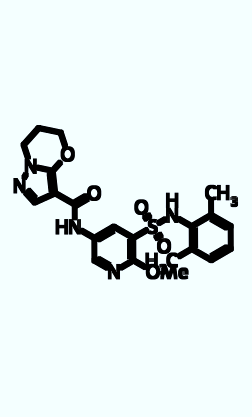 COc1ncc(NC(=O)c2cnn3c2OCCC3)cc1S(=O)(=O)Nc1c(C)cccc1C